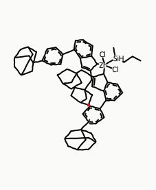 CCC[SiH](C)[Zr]([Cl])([Cl])([CH]1C(CC23CCC(CC2)C3)=Cc2c(-c3ccc(C45CC6CC(CC(C6)C4)C5)cc3)cccc21)[CH]1C(CC23CCC(CC2)C3)=Cc2c(-c3ccc(C45CC6CC(CC(C6)C4)C5)cc3)cccc21